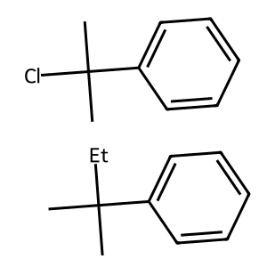 CC(C)(Cl)c1ccccc1.CCC(C)(C)c1ccccc1